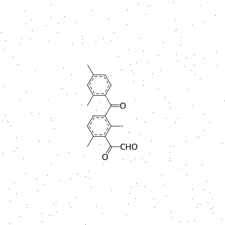 Cc1ccc(C(=O)c2ccc(C)c(C(=O)C=O)c2C)c(C)c1